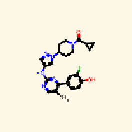 Cc1cnc(Nc2cnn(C3CCN(C(=O)C4CC4)CC3)c2)nc1-c1ccc(O)c(F)c1